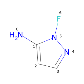 Nc1ccnn1F